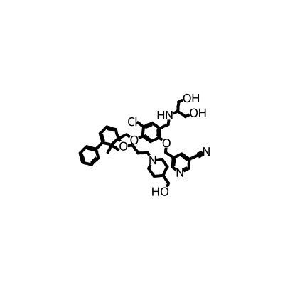 CC1(C)C(c2ccccc2)=CC=CC1(COc1cc(OCc2cncc(C#N)c2)c(CNC(CO)CO)cc1Cl)OCCCN1CCC(CO)CC1